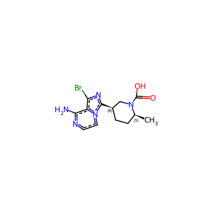 C[C@H]1CC[C@@H](c2nc(Br)c3c(N)nccn23)CN1C(=O)O